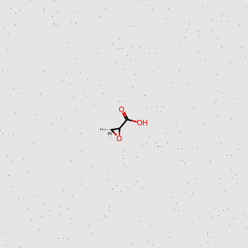 C[C@H]1OC1C(=O)O